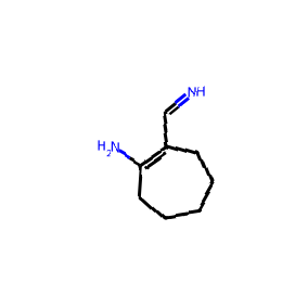 N=CC1=C(N)CCCCC1